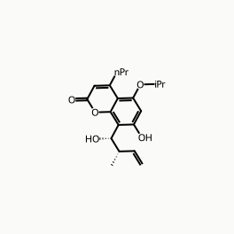 C=C[C@H](C)[C@H](O)c1c(O)cc(OC(C)C)c2c(CCC)cc(=O)oc12